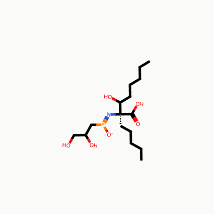 CCCCCC(O)[C@](CCCCC)(/N=[P+](\[O-])CC(O)CO)C(=O)O